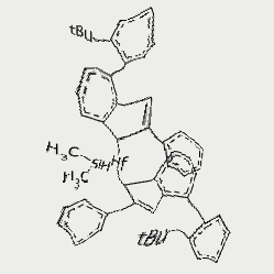 C[SiH](C)[Hf]([CH]1C(c2ccccc2)=Cc2c(-c3ccccc3C(C)(C)C)cccc21)[CH]1C(c2ccccc2)=Cc2c(-c3ccccc3C(C)(C)C)cccc21